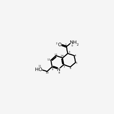 NC(=O)C1CCCc2nc(CO)ccc21